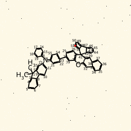 CC1(C)c2ccccc2-c2ccc(N(c3ccccc3)c3ccc(-c4ccc5c(c4)Oc4cc6ccccc6cc4C54c5ccccc5-c5ccccc54)cc3)cc21